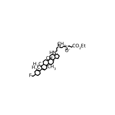 CCOC(=O)CC[S+]([O-])CCN(C)CCNC12CCCC1C1CCC3C(C)(CCC4C(C)(C)C(C5=CCC(CF)CC5)=CCC43C)C1CC2